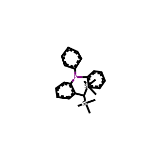 C[Si](C)(C)C(c1ccccc1P(c1ccccc1)c1ccccc1)[Si](C)(C)C